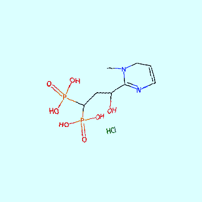 CN1CC=CN=C1C(O)CC(P(=O)(O)O)P(=O)(O)O.Cl